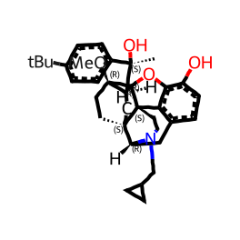 CO[C@]12CC[C@@]3(C[C@@H]1[C@](C)(O)c1ccc(C(C)(C)C)cc1)[C@H]1Cc4ccc(O)c5c4[C@@]3(CCN1CC1CC1)[C@H]2O5